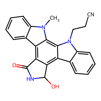 Cn1c2ccccc2c2c3c(c4c5ccccc5n(CCC#N)c4c21)C(O)NC3=O